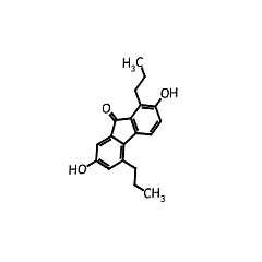 CCCc1cc(O)cc2c1-c1ccc(O)c(CCC)c1C2=O